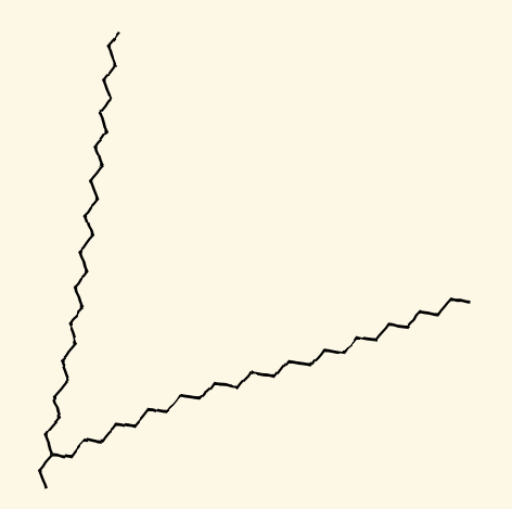 [CH2]CC(CCCCCCCCCCCCCCCCCCCCCCCC)CCCCCCCCCCCCCCCCCCCCCCCCC